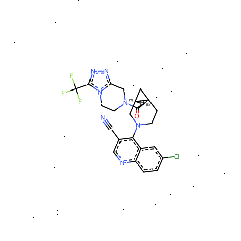 N#Cc1cnc2ccc(Cl)cc2c1N1CC[C@@]2(C(=O)N3CCn4c(nnc4C(F)(F)F)C3)C[C@H]2C1